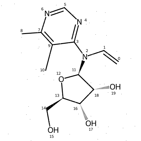 C=CN(c1ncnc(C)c1C)[C@@H]1O[C@H](CO)[C@@H](O)[C@H]1O